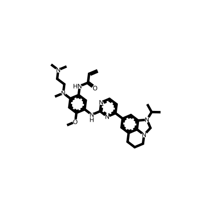 C=CC(=O)Nc1cc(Nc2nccc(-c3cc4c5c(c3)N(C(C)C)CN5CCC4)n2)c(OC)cc1N(C)CCN(C)C